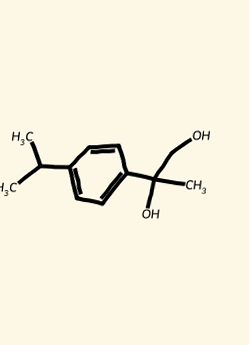 CC(C)c1ccc(C(C)(O)CO)cc1